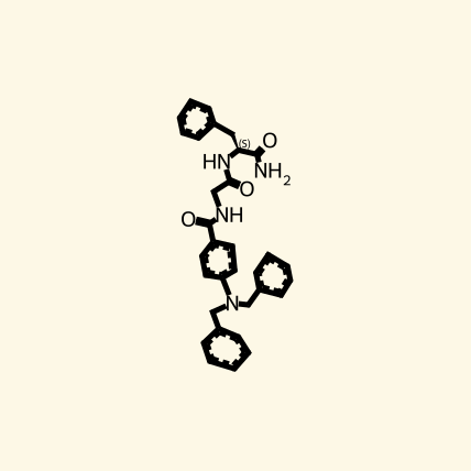 NC(=O)[C@H](Cc1ccccc1)NC(=O)CNC(=O)c1ccc(N(Cc2ccccc2)Cc2ccccc2)cc1